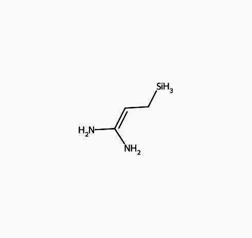 NC(N)=CC[SiH3]